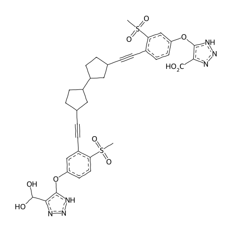 CS(=O)(=O)c1ccc(Oc2[nH]nnc2C(O)O)cc1C#CC1CCC(C2CCC(C#Cc3ccc(Oc4[nH]nnc4C(=O)O)cc3S(C)(=O)=O)C2)C1